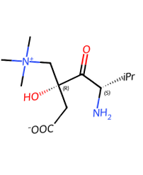 CC(C)[C@H](N)C(=O)[C@@](O)(CC(=O)[O-])C[N+](C)(C)C